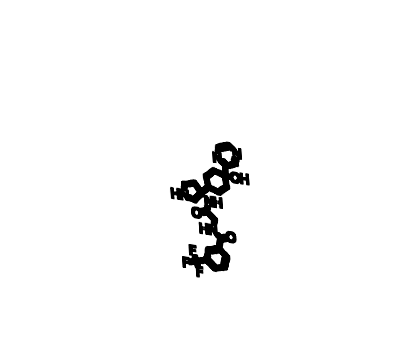 O=C(CNC(=O)c1cccc(C(F)(F)F)c1)N[C@@]1(C2CCC(O)(c3cnccn3)CC2)CCNC1